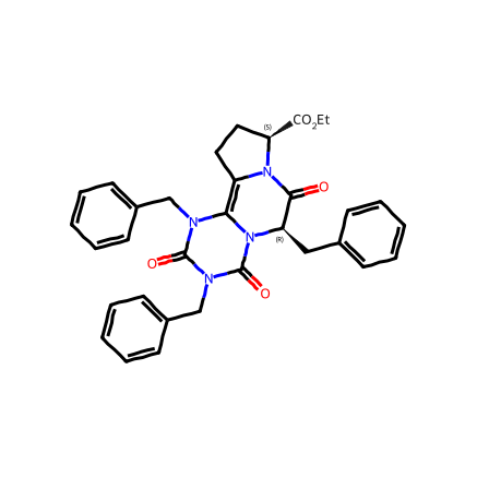 CCOC(=O)[C@@H]1CCC2=C3N(Cc4ccccc4)C(=O)N(Cc4ccccc4)C(=O)N3[C@H](Cc3ccccc3)C(=O)N21